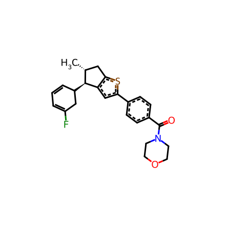 C[C@@H]1Cc2sc(-c3ccc(C(=O)N4CCOCC4)cc3)cc2[C@H]1C1C=CC=C(F)C1